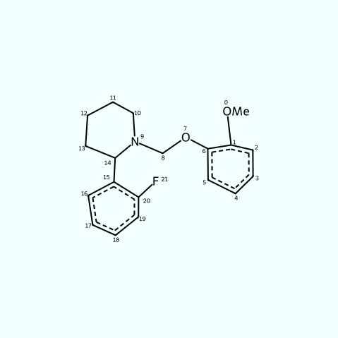 COc1ccccc1OCN1CCCCC1c1ccccc1F